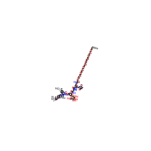 CCCCc1nc2c(NC(=O)OCc3ccc(O[C@H]4O[C@H](CO)[C@@H](O)[C@H](O)[C@@H]4O)c(NC(=O)CCNC(=O)[C@H](CCCCNC(=O)CCOCCOCCOCCOCCOCCOCCOCCOCCOCCOCCOCCOC)NC(=O)CCN4C(=O)C=CC4=O)c3)nc3cc(C(=O)O)ccc3c2n1Cc1ccc(CN(C)C)cc1